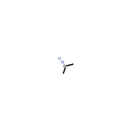 C[Si]C.[N].[N]